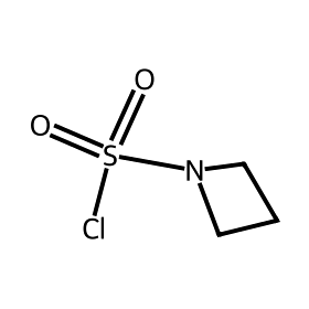 O=S(=O)(Cl)N1CCC1